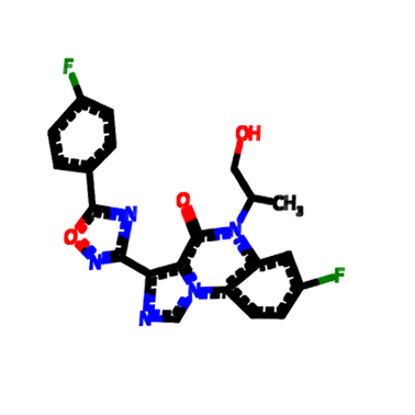 CC(CO)n1c(=O)c2c(-c3noc(-c4ccc(F)cc4)n3)ncn2c2ccc(F)cc21